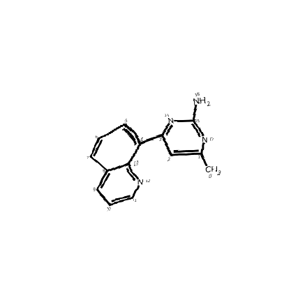 Cc1cc(-c2cccc3cccnc23)nc(N)n1